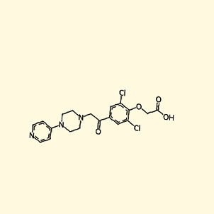 O=C(O)COc1c(Cl)cc(C(=O)CN2CCN(c3ccncc3)CC2)cc1Cl